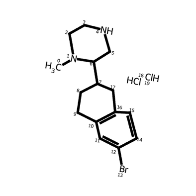 CN1CCNCC1C1CCc2cc(Br)ccc2C1.Cl.Cl